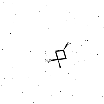 CC(C)[C@H]1C[C@](C)(N)C1